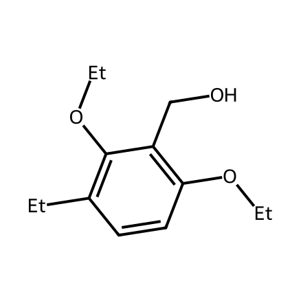 CCOc1ccc(CC)c(OCC)c1CO